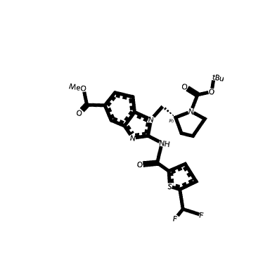 COC(=O)c1ccc2c(c1)nc(NC(=O)c1ccc(C(F)F)s1)n2C[C@H]1CCCN1C(=O)OC(C)(C)C